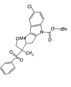 COCC(C)(C1Cc2c(n(C(=O)OC(C)(C)C)c3ccc(Cl)cc23)C1)S(=O)(=O)c1ccccc1